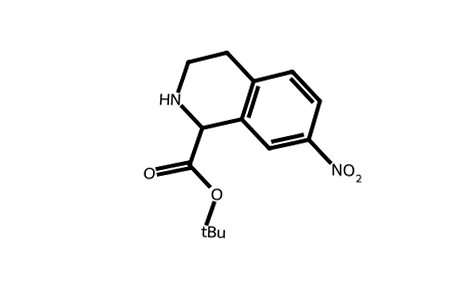 CC(C)(C)OC(=O)C1NCCc2ccc([N+](=O)[O-])cc21